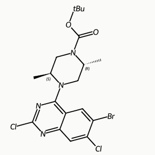 C[C@@H]1CN(c2nc(Cl)nc3cc(Cl)c(Br)cc23)[C@@H](C)CN1C(=O)OC(C)(C)C